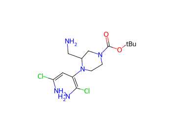 CC(C)(C)OC(=O)N1CCN(C(/C=C(\N)Cl)=C(/N)Cl)C(CN)C1